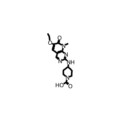 CCOc1cc2cnc(NC3CCN(C(=O)O)CC3)nc2n(C)c1=O